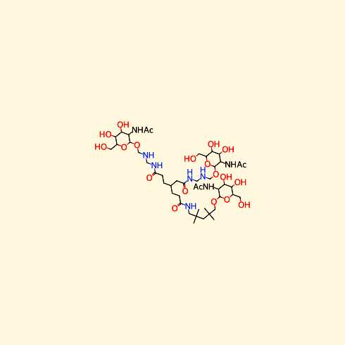 CC(=O)NC1C(OCNCNC(=O)CCC(CCC(=O)NCC(C)(C)CC(C)(C)COC2OC(CO)C(O)C(O)C2NC(C)=O)CC(=O)NCNCOC2OC(CO)C(O)C(O)C2NC(C)=O)OC(CO)C(O)C1O